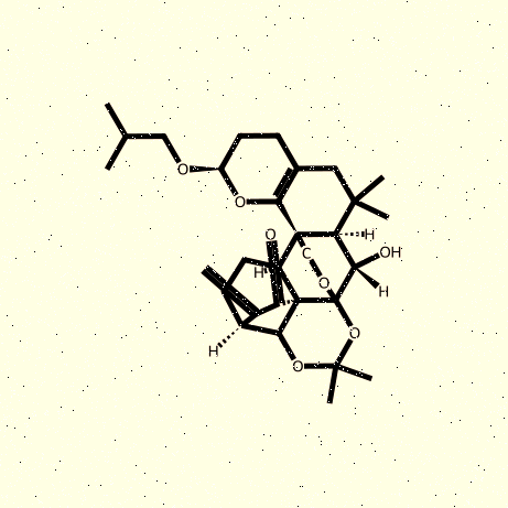 C=C1C(=O)[C@@]23C4OC(C)(C)OC25OC[C@]2(C6=C(CC[C@H](OCC(C)C)O6)CC(C)(C)[C@H]2[C@@H]5O)[C@@H]3CC[C@@H]14